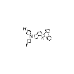 CC(C)c1ccc(N(c2ccc(F)cc2)c2ccc3c4c(ccc3c2)-c2c(c3ccccc3c3ccccc23)C4(C)C)cc1